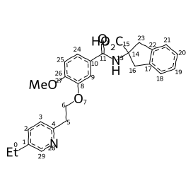 CCc1ccc(CCOc2cc(C(=O)NC3(C(=O)O)Cc4ccccc4C3)ccc2OC)nc1